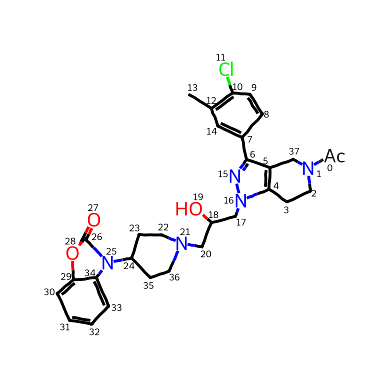 CC(=O)N1CCc2c(c(-c3ccc(Cl)c(C)c3)nn2CC(O)CN2CCC(n3c(=O)oc4ccccc43)CC2)C1